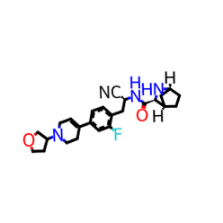 N#C[C@H](Cc1ccc(C2=CCN(C3CCOC3)CC2)cc1F)NC(=O)[C@H]1N[C@@H]2CC[C@H]1C2